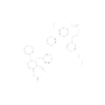 COCCCc1cccc(C2=NCC(=O)N(C)c3cc(OC)c(-c4ccccc4)cc32)c1.COc1cc2c(cc1-c1ccccc1)C(c1ccccc1Br)=NCC(=O)N2